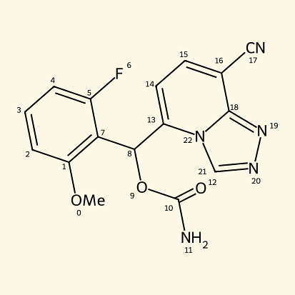 COc1cccc(F)c1C(OC(N)=O)c1ccc(C#N)c2nncn12